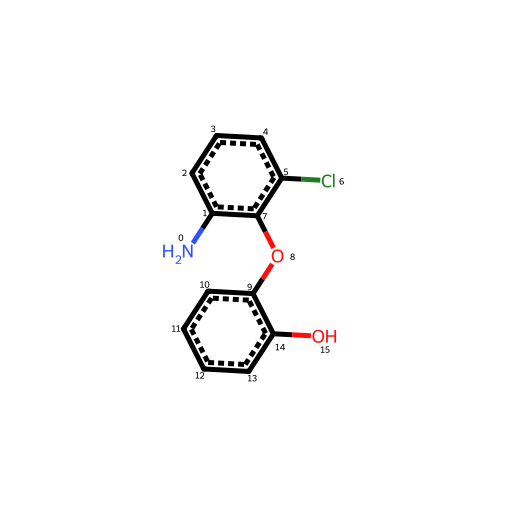 Nc1cccc(Cl)c1Oc1ccccc1O